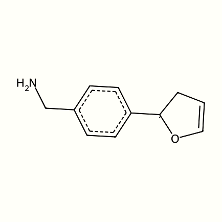 NCc1ccc([C]2CC=CO2)cc1